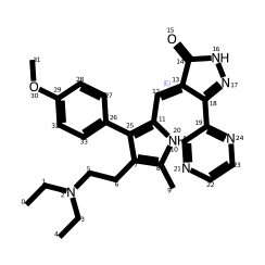 CCN(CC)CCc1c(C)[nH]c(/C=C2/C(=O)NN=C2c2cnccn2)c1-c1ccc(OC)cc1